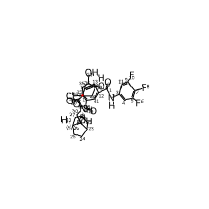 O=C(Nc1cc(F)c(F)c(F)c1)c1ccc(Cl)c(S(=O)(=O)[C@@H]2CC3CC[C@@H](C2)[C@@]3(O)CNC(=O)C2CC(O)C(O)C2)c1